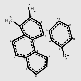 Cc1ccc2c(ccc3ccccc32)c1C.Oc1ccccc1